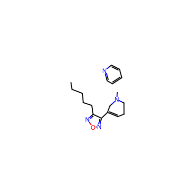 CCCCCc1nonc1C1=CCCN(C)C1.c1ccncc1